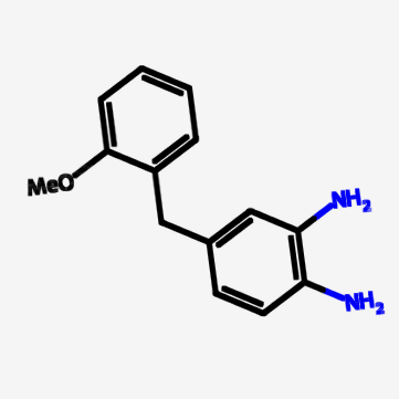 COc1ccccc1Cc1ccc(N)c(N)c1